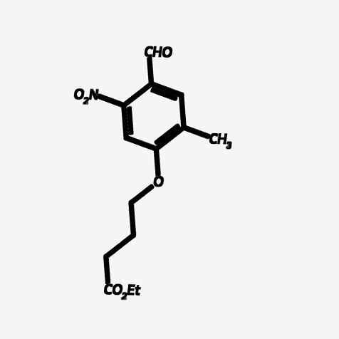 CCOC(=O)CCCOc1cc([N+](=O)[O-])c(C=O)cc1C